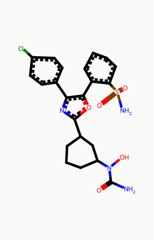 NC(=O)N(O)C1CCCC(c2nc(-c3ccc(Cl)cc3)c(-c3ccccc3S(N)(=O)=O)o2)C1